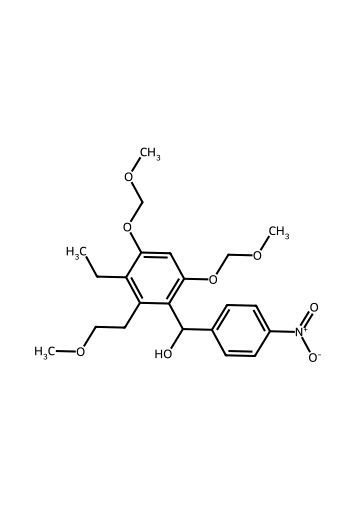 CCc1c(OCOC)cc(OCOC)c(C(O)c2ccc([N+](=O)[O-])cc2)c1CCOC